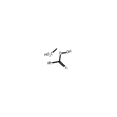 CC(=O)O.CCCC(=O)OO